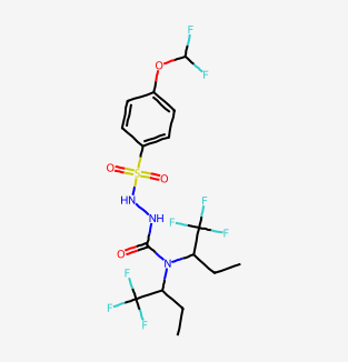 CCC(N(C(=O)NNS(=O)(=O)c1ccc(OC(F)F)cc1)C(CC)C(F)(F)F)C(F)(F)F